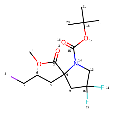 COC(=O)C1(CCCI)CC(F)(F)CN1C(=O)OC(C)(C)C